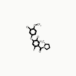 C[C@@H]1CCCN1C(=O)c1cc(Cl)c(Oc2ccc(OC(F)(F)F)c(Cl)c2)cc1F